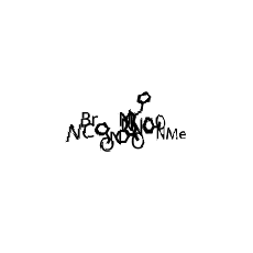 CNC(=O)c1ccc(-n2c(=O)c3c(n4ncc(Cc5ccccc5)c24)CN(C(=O)c2ccc(Br)c(C#N)c2)CC3)cc1